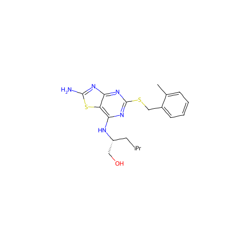 Cc1ccccc1CSc1nc(N[C@@H](CO)CC(C)C)c2sc(N)nc2n1